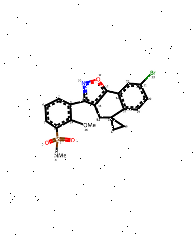 CNS(=O)(=O)c1cccc(-c2noc3c2CC2(CC2)c2ccc(Br)cc2-3)c1OC